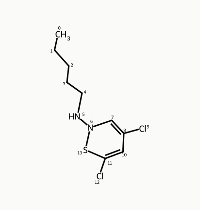 CCCCCNN1C=C(Cl)C=C(Cl)S1